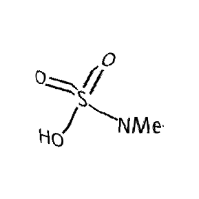 C[N]S(=O)(=O)O